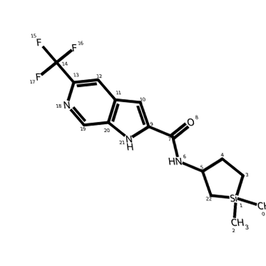 C[Si]1(C)CCC(NC(=O)c2cc3cc(C(F)(F)F)ncc3[nH]2)C1